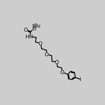 CC(C)(C)OC(=O)NCCOCCOCCOCCOc1ccc(I)cc1